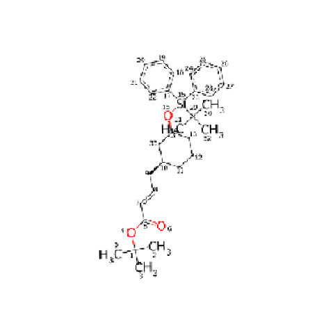 CC(C)(C)OC(=O)C=CC[C@@H]1CCC[C@H](O[Si](c2ccccc2)(c2ccccc2)C(C)(C)C)C1